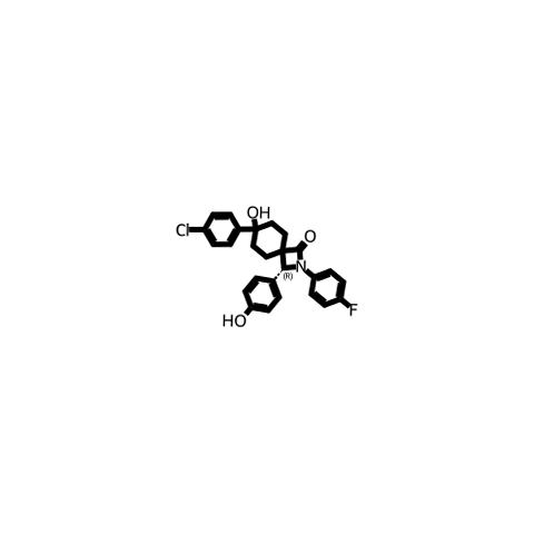 O=C1N(c2ccc(F)cc2)[C@H](c2ccc(O)cc2)C12CCC(O)(c1ccc(Cl)cc1)CC2